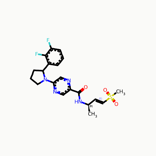 C[C@H](/C=C/S(C)(=O)=O)NC(=O)c1cnc(N2CCCC2c2cccc(F)c2F)cn1